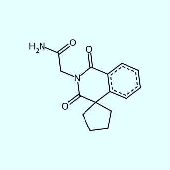 NC(=O)CN1C(=O)c2ccccc2C2(CCCC2)C1=O